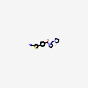 C[C@H]1CCCN1CC1CCCN1C(=O)c1ccc(-c2csc(C#N)c2)cc1